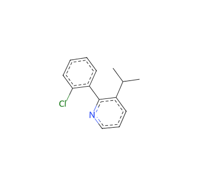 CC(C)c1cccnc1-c1ccccc1Cl